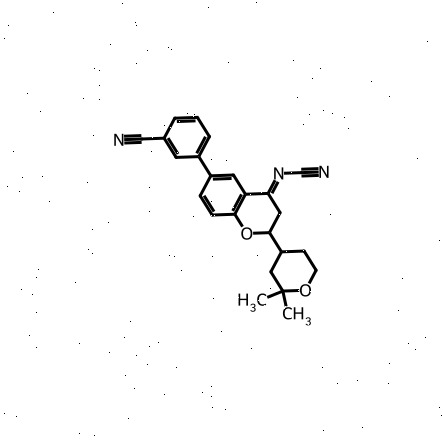 CC1(C)CC(C2CC(=NC#N)c3cc(-c4cccc(C#N)c4)ccc3O2)CCO1